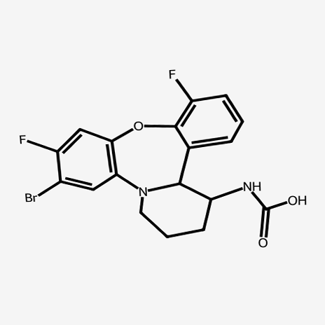 O=C(O)NC1CCCN2c3cc(Br)c(F)cc3Oc3c(F)cccc3C12